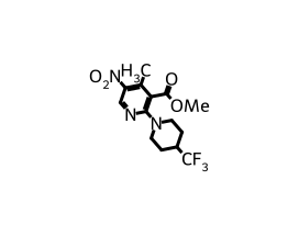 COC(=O)c1c(N2CCC(C(F)(F)F)CC2)ncc([N+](=O)[O-])c1C